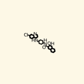 O=C(NC1CCC(Nc2ccnc3cc(Cl)ccc23)CC1)c1cc2ccccc2cc1O